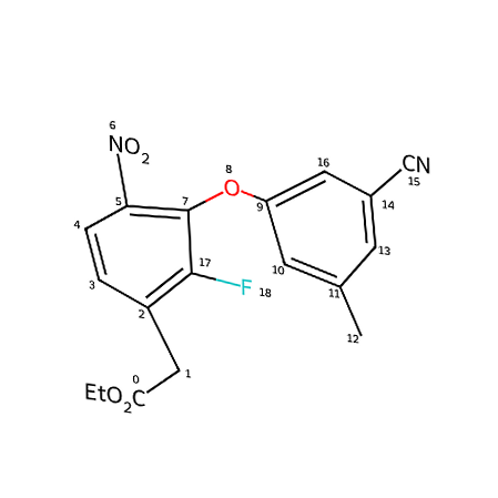 CCOC(=O)Cc1ccc([N+](=O)[O-])c(Oc2cc(C)cc(C#N)c2)c1F